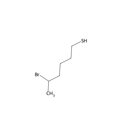 CC(Br)CCCCS